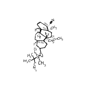 CO[C@H]1C[C@]2(C)[C@@H](C#N)CC[C@H]2[C@@H]2CC[C@H]3CC(O[Si](C)(C)C(C)(C)C)CC[C@]3(C)[C@H]21